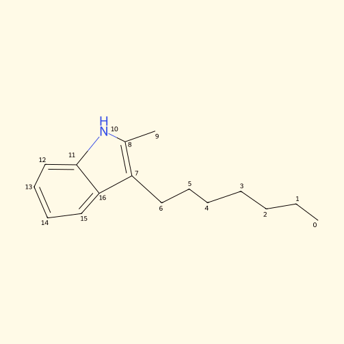 CCCCCCCc1c(C)[nH]c2ccccc12